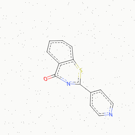 O=c1nc(-c2ccncc2)sc2ccccc12